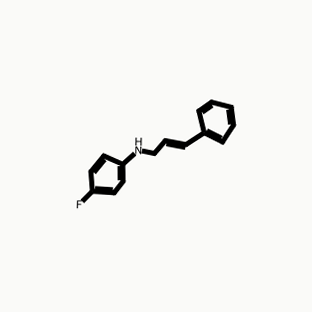 Fc1ccc(NC/C=C/c2ccccc2)cc1